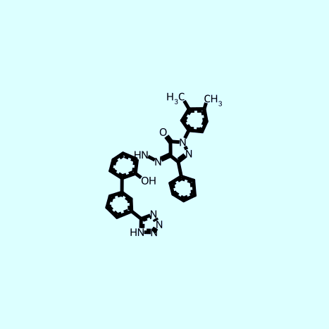 Cc1ccc(N2N=C(c3ccccc3)C(=NNc3cccc(-c4cccc(-c5nnn[nH]5)c4)c3O)C2=O)cc1C